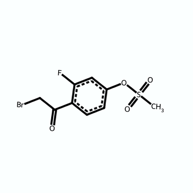 CS(=O)(=O)Oc1ccc(C(=O)CBr)c(F)c1